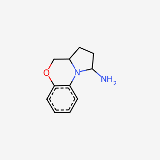 NC1CCC2COc3ccccc3N12